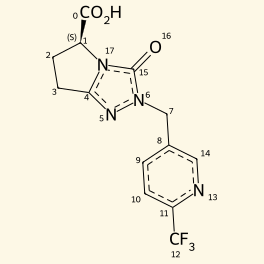 O=C(O)[C@@H]1CCc2nn(Cc3ccc(C(F)(F)F)nc3)c(=O)n21